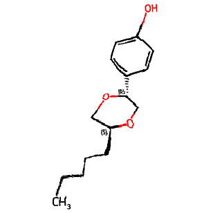 CCCCC[C@H]1CO[C@H](c2ccc(O)cc2)CO1